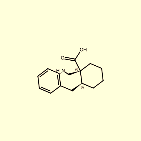 NC[C@@]1(C(=O)O)CCCC[C@H]1Cc1ccccc1